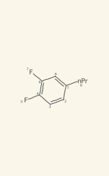 C[CH]Cc1ccc(F)c(F)c1